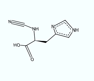 N#CN[C@@H](Cc1c[nH]cn1)C(=O)O